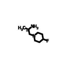 C[C@@H](N)CN1CCC(F)CC1